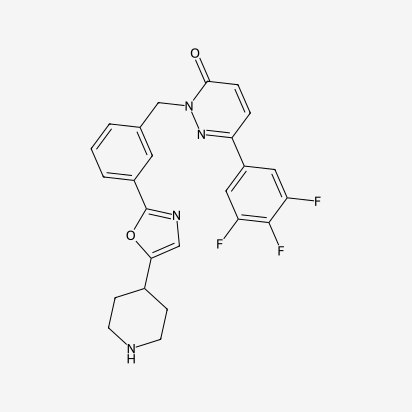 O=c1ccc(-c2cc(F)c(F)c(F)c2)nn1Cc1cccc(-c2ncc(C3CCNCC3)o2)c1